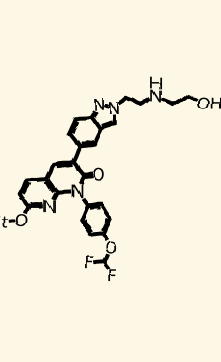 CCOc1ccc2cc(-c3ccc4nn(CCNCCO)cc4c3)c(=O)n(-c3ccc(OC(F)F)cc3)c2n1